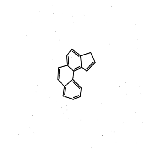 C1=Cc2c(ccc3ccc4ccccc4c23)C1